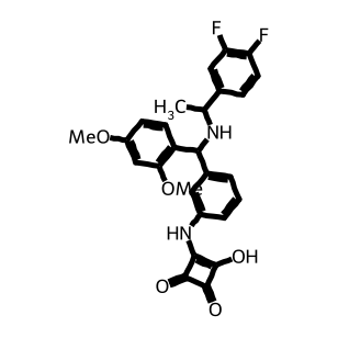 COc1ccc(C(NC(C)c2ccc(F)c(F)c2)c2cccc(Nc3c(O)c(=O)c3=O)c2)c(OC)c1